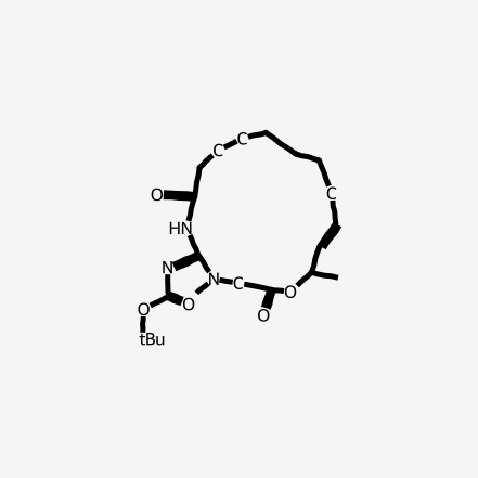 CC1/C=C/CCCCCCCC(=O)N/C(=N/C(=O)OC(C)(C)C)N(C)CC(=O)O1